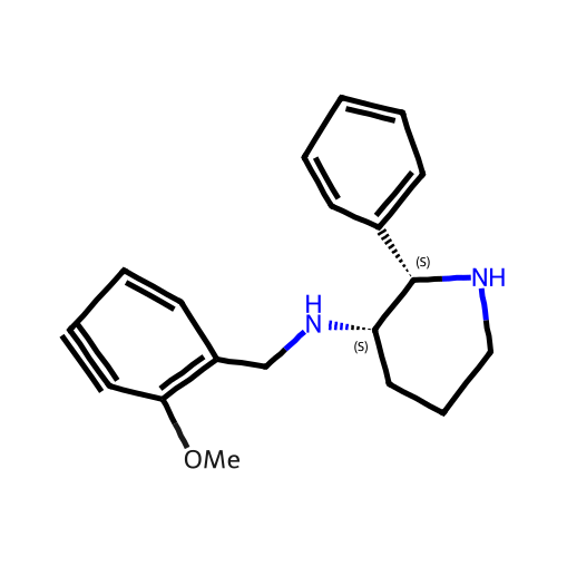 COc1c#cccc1CN[C@H]1CCCN[C@H]1c1ccccc1